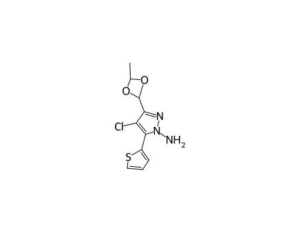 CC1OC(c2nn(N)c(-c3cccs3)c2Cl)O1